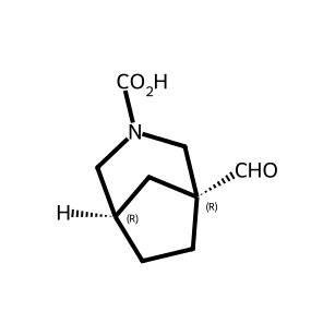 O=C[C@@]12CC[C@@H](CN(C(=O)O)C1)C2